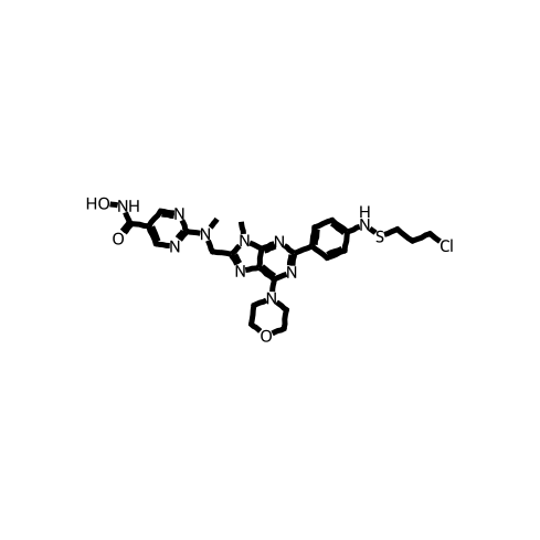 CN(Cc1nc2c(N3CCOCC3)nc(-c3ccc(NSCCCCl)cc3)nc2n1C)c1ncc(C(=O)NO)cn1